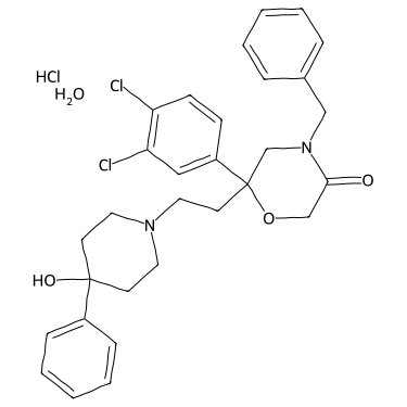 Cl.O.O=C1COC(CCN2CCC(O)(c3ccccc3)CC2)(c2ccc(Cl)c(Cl)c2)CN1Cc1ccccc1